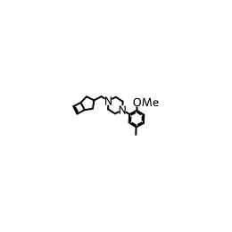 COc1ccc(C)cc1N1CCN(CC2CC3C=CC3C2)CC1